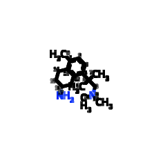 Cc1ccc(C(C)(C)CN(C)C)c2c1CC[C@@H](N)C2